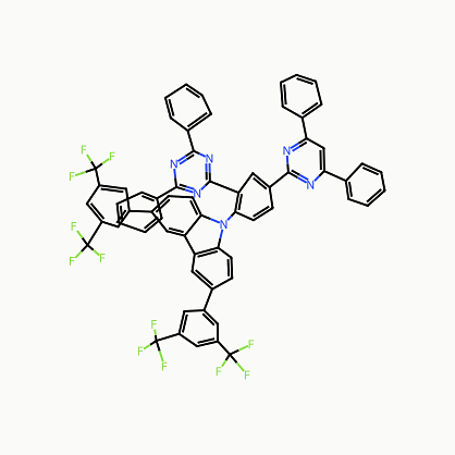 FC(F)(F)c1cc(-c2ccc3c(c2)c2cc(-c4cc(C(F)(F)F)cc(C(F)(F)F)c4)ccc2n3-c2ccc(-c3nc(-c4ccccc4)cc(-c4ccccc4)n3)cc2-c2nc(-c3ccccc3)nc(-c3ccccc3)n2)cc(C(F)(F)F)c1